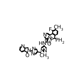 Cc1ccc(C(P)P)c(-c2cncc(C(=O)Nc3cnn(C(C)c4cnc(N5Cc6ncccc6C5=O)nc4)c3)n2)c1F